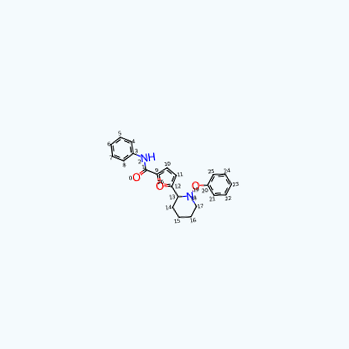 O=C(Nc1ccccc1)c1ccc(C2CCCCN2Oc2ccccc2)o1